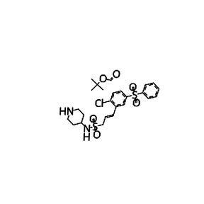 CC(C)(C)OC=O.O=S(=O)(CC=Cc1cc(S(=O)(=O)c2ccccc2)ccc1Cl)NC1CCNCC1